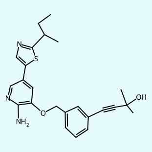 CCC(C)c1ncc(-c2cnc(N)c(OCc3cccc(C#CC(C)(C)O)c3)c2)s1